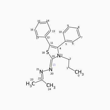 CCCn1c(-c2ccccc2)c(-c2ccccc2)s/c1=N\N=C(C)C